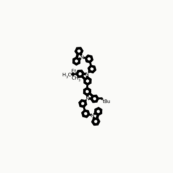 CCC(C)(C)c1ccc2c(c1)c1cc(-c3ccc4c(c3)c3cc(CC(C)(C)C)ccc3n4-c3cccc(-c4cccc(-n5c6ccccc6c6ccccc65)c4)c3)ccc1n2-c1cccc(-c2cccc(-n3c4ccccc4c4ccccc43)c2)c1